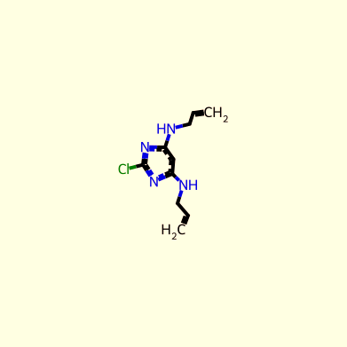 C=CCNc1cc(NCC=C)nc(Cl)n1